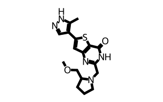 COCC1CCCN1Cc1nc2cc(-c3cn[nH]c3C)sc2c(=O)[nH]1